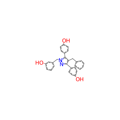 Oc1ccc(-c2nn(Cc3cccc(O)c3)c(-c3ccc(O)cc3)c2Cc2ccccc2)cc1